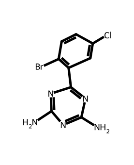 Nc1nc(N)nc(-c2cc(Cl)ccc2Br)n1